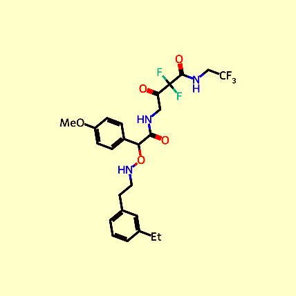 CCc1cccc(CCNOC(C(=O)NCC(=O)C(F)(F)C(=O)NCC(F)(F)F)c2ccc(OC)cc2)c1